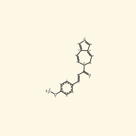 O=C(/C=C/c1ccc(OC(F)(F)F)cc1)N1C=CC2=CN=CC2=CC1